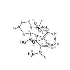 CC1CCC(C(C)C)C(C(=O)O)(C(NC(=O)C(C)N)(C(N)=O)c2ccccc2)C1